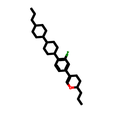 CCCC1CCC(C2CCC(c3ccc(C4=COC(CCC)CC4)cc3F)CC2)CC1